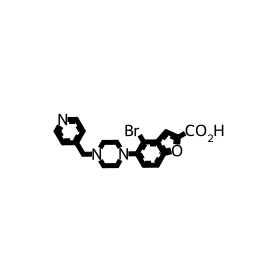 O=C(O)c1cc2c(Br)c(N3CCN(Cc4ccncc4)CC3)ccc2o1